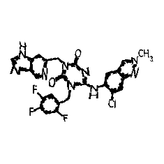 Cn1cc2cc(Nc3nc(=O)n(Cc4cc5[nH]cnc5cn4)c(=O)n3Cc3cc(F)c(F)cc3F)c(Cl)cc2n1